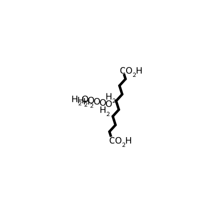 O.O.O.O.O.O=C(O)CCCCCCCCC(=O)O